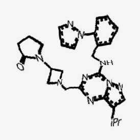 CC(C)c1cnn2c(NCc3ccccc3-n3cccn3)nc(CN3CC(N4CCCC4=O)C3)nc12